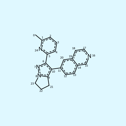 Cc1cccc(-c2nn3c(c2-c2ccc4cnccc4c2)CCC3)n1